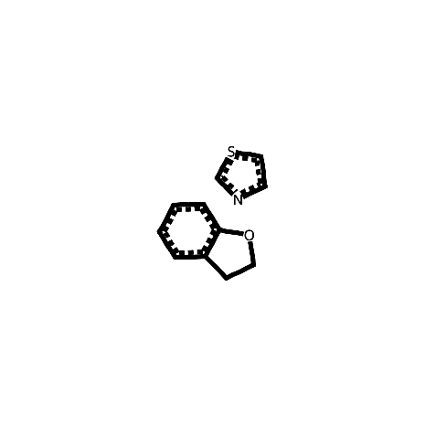 c1ccc2c(c1)CCO2.c1cscn1